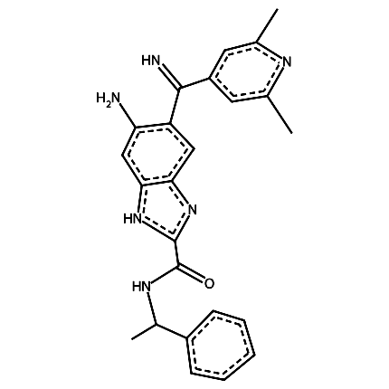 Cc1cc(C(=N)c2cc3nc(C(=O)NC(C)c4ccccc4)[nH]c3cc2N)cc(C)n1